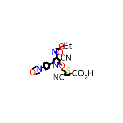 CCOc1cnc(-c2cc(-c3ccc(N4CCOCC4)cc3)nc(OCc3sc(C(=O)O)cc3C#N)c2C#N)o1